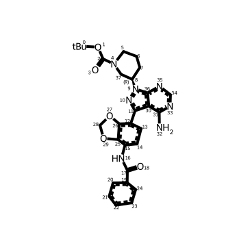 CC(C)(C)OC(=O)N1CCC[C@@H](n2nc(-c3ccc(NC(=O)c4ccccc4)c4c3OCO4)c3c(N)ncnc32)C1